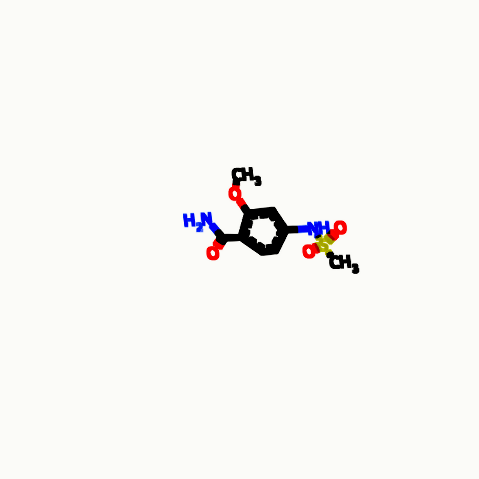 COc1cc(NS(C)(=O)=O)ccc1C(N)=O